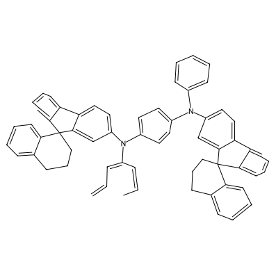 C=C/C=C(\C=C/C)N(c1ccc(N(c2ccccc2)c2ccc3c(c2)C2(CCCc4ccccc42)c2ccccc2-3)cc1)c1ccc2c(c1)C1(CCCc3ccccc31)c1ccccc1-2